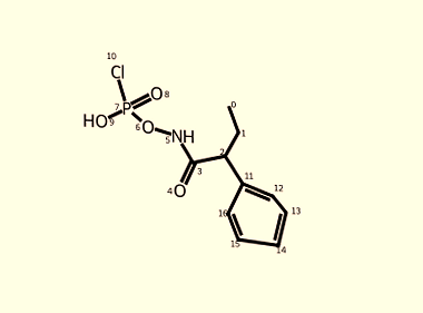 CCC(C(=O)NOP(=O)(O)Cl)c1ccccc1